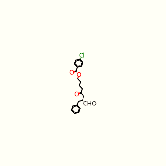 O=CC(CC(=O)CCCCOC(=O)c1ccc(Cl)cc1)Cc1ccccc1